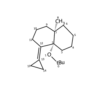 CC(C)(C)O[C@@]12CCCC[C@]1(C)CCCC2=C1CC1